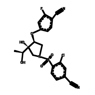 C[C@H](O)[C@]1(O)CN(S(=O)(=O)c2ccc(C#N)cc2Cl)C[C@@H]1Oc1ccc(C#N)c(F)c1